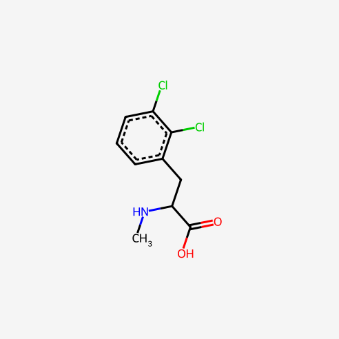 CNC(Cc1cccc(Cl)c1Cl)C(=O)O